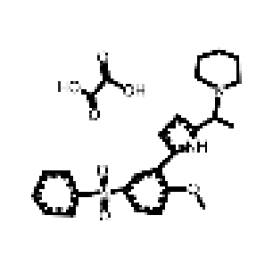 COc1ccc(S(=O)(=O)c2ccccc2)cc1-c1ccc(C(C)N2CCCCC2)[nH]1.O=C(O)C(=O)O